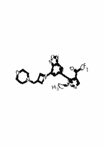 Cn1ncc(C(=O)C(F)(F)F)c1-c1cc(N2CC(CN3CCOCC3)C2)c2nonc2c1